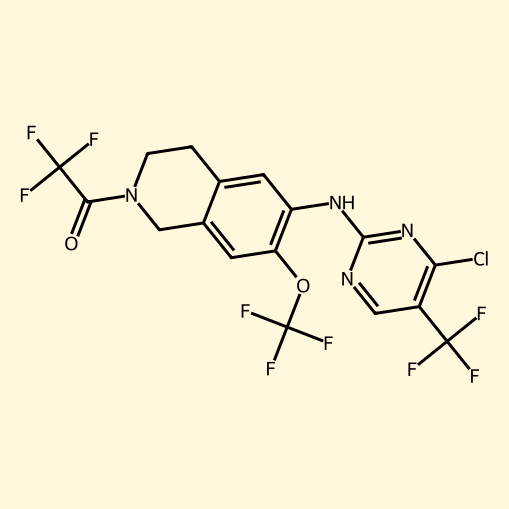 O=C(N1CCc2cc(Nc3ncc(C(F)(F)F)c(Cl)n3)c(OC(F)(F)F)cc2C1)C(F)(F)F